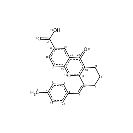 Cc1ccc(/C=C2/CCCc3c2oc2ccc(C(=O)O)cc2c3=O)cc1